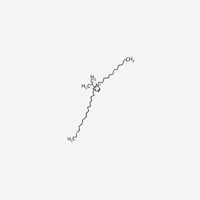 CCCCCCCCCCCCCCCCCn1cc[n+](CCCCCCCCCCCC)c1C(C)C